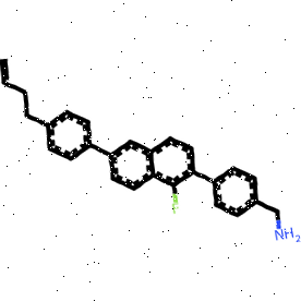 C=CCCc1ccc(-c2ccc3c(F)c(-c4ccc(CN)cc4)ccc3c2)cc1